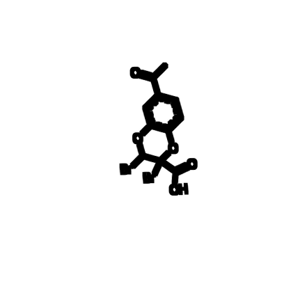 CC(=O)c1ccc2c(c1)OC(Br)C(Br)(C(=O)O)O2